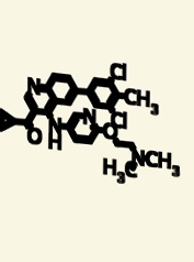 Cc1c(Cl)cc(-c2ccc3ncc(C(=O)C4CC4)c(Nc4ccc(OCCN(C)C)nc4)c3c2)cc1Cl